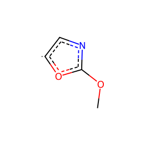 COc1nc[c]o1